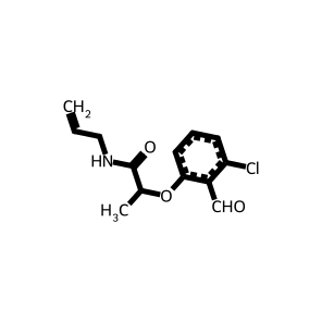 C=CCNC(=O)C(C)Oc1cccc(Cl)c1C=O